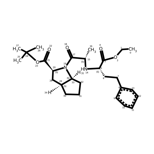 CCOC(=O)[C@H](CCc1ccccc1)N[C@@H](C)C(=O)N1[C@H](C(=O)OC(C)(C)C)C[C@@H]2CCC[C@@H]21